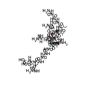 CC[C@H](C)[C@H](NC(=O)CNC(=O)CNC(=O)CNC(=O)CN)C(=O)N[C@H](C(=O)N[C@@H](CCCNC(=N)N)C(=O)N[C@@H](CCCNC(=N)N)C(=O)N[C@@H](C)C(=O)N[C@@H](CC(=O)O)C(=O)N[C@@H](CCCNC(=N)N)C(=O)N[C@@H](C)C(=O)N[C@@H](C)C(=O)N[C@H](C(=O)N1CCC[C@H]1C(=O)NCC(=O)NCC(=O)NCC(=O)N[C@@H](CCCNC(=N)N)C(=O)NCC(=O)N[C@@H](CC(=O)O)C(=O)O)C(C)C)C(C)C